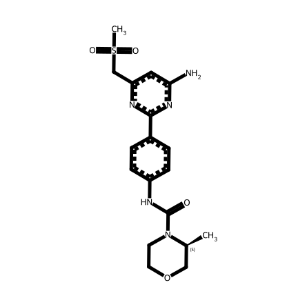 C[C@H]1COCCN1C(=O)Nc1ccc(-c2nc(N)cc(CS(C)(=O)=O)n2)cc1